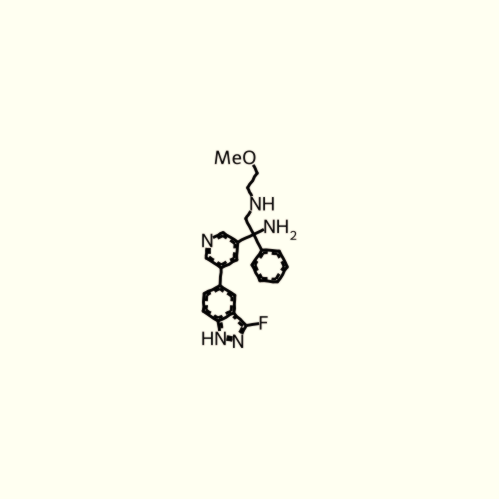 COCCNCC(N)(c1ccccc1)c1cncc(-c2ccc3[nH]nc(F)c3c2)c1